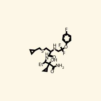 CCC(NC(=O)C(CSCC1CC1)NCC(F)(F)Oc1ccc(F)cc1)C(O)(C(N)=O)C1CC1